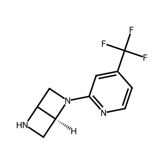 FC(F)(F)c1ccnc(N2CC3NC[C@@H]32)c1